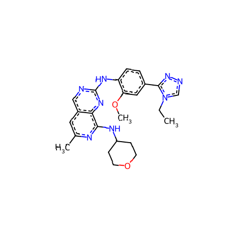 CCn1cnnc1-c1ccc(Nc2ncc3cc(C)nc(NC4CCOCC4)c3n2)c(OC)c1